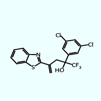 C=C(CC(O)(c1cc(Cl)cc(Cl)c1)C(F)(F)F)c1nc2ccccc2s1